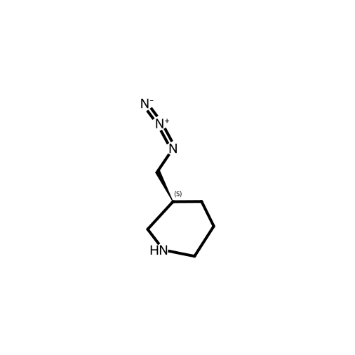 [N-]=[N+]=NC[C@H]1CCCNC1